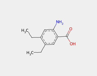 CCc1cc(N)c(C(=O)O)cc1CC